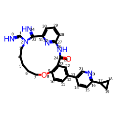 N=CN1CCCCCOc2ccc(-c3ccc(C4CC4)nc3)cc2C(=O)Nc2cccc(n2)C1=N